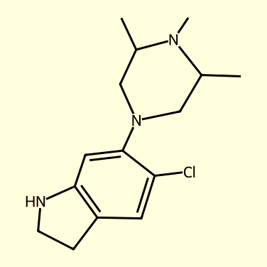 CC1CN(c2cc3c(cc2Cl)CCN3)CC(C)N1C